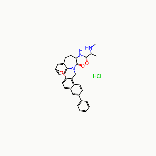 CNC(C)C(=O)NC1CCc2ccccc2N(Cc2c(OC)ccc3cc(-c4ccccc4)ccc23)C1=O.Cl